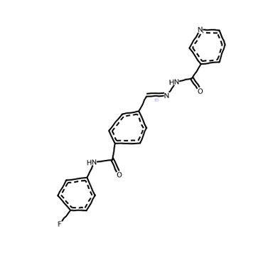 O=C(N/N=C/c1ccc(C(=O)Nc2ccc(F)cc2)cc1)c1cccnc1